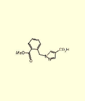 COC(=O)c1ccccc1Cn1cc(C(=O)O)cn1